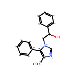 O=C(O)c1ncn(CC(O)c2ccccc2)c1-c1ccccc1